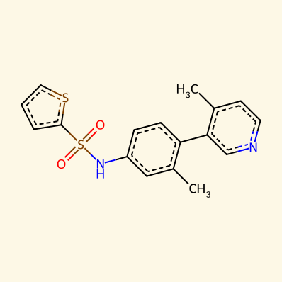 Cc1cc(NS(=O)(=O)c2cccs2)ccc1-c1cnccc1C